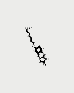 CC(=O)OCCCCCCOc1ccc2c(c1)CN1CC(=O)NC1=N2